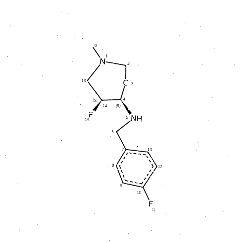 CN1CC[C@@H](NCc2ccc(F)cc2)[C@@H](F)C1